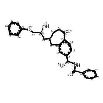 Cl.NC(NC(=O)c1ccccc1)c1ccc2c(c1)CC(C[C@H](O)COc1ccccc1)CCC2